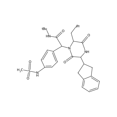 CC(C)CC1C(=O)NC(C2Cc3ccccc3C2)C(=O)N1C(C(=O)NC(C)(C)C)c1ccc(NS(C)(=O)=O)cc1